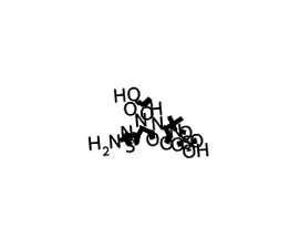 C=C(ON=C(C(=O)NC1C(=O)N(OS(=O)(=O)O)C1(C)C)c1csc(N)n1)C(=O)O